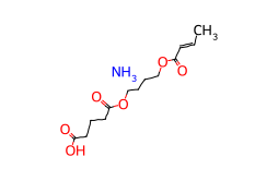 CC=CC(=O)OCCCCOC(=O)CCCC(=O)O.N